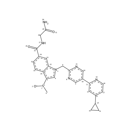 C[S+]([O-])c1cn(Cc2ncc(-c3cc(C4CC4)ccn3)cn2)c2cc(C(=O)NCC(N)=O)ccc12